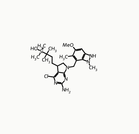 COc1cc2[nH]n(C)c2c(CN2CC(CCC(C)(C)[Si](C)(C)O)c3c(Cl)nc(N)nc32)c1C